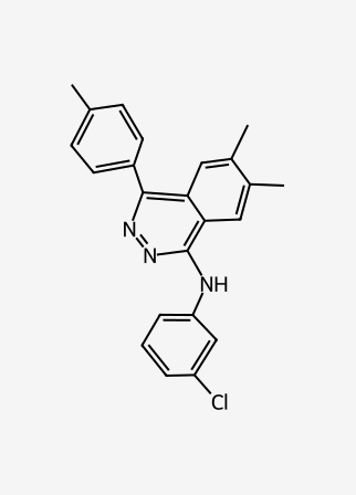 Cc1ccc(-c2nnc(Nc3cccc(Cl)c3)c3cc(C)c(C)cc23)cc1